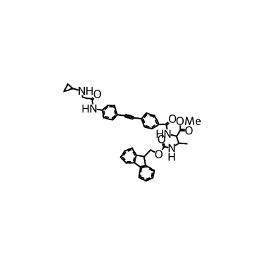 COC(=O)C(NC(=O)c1ccc(C#Cc2ccc(NC(=O)CNC3CC3)cc2)cc1)C(C)NC(=O)OCC1c2ccccc2-c2ccccc21